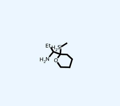 CCC(N)C1([SiH2]C)CCCCO1